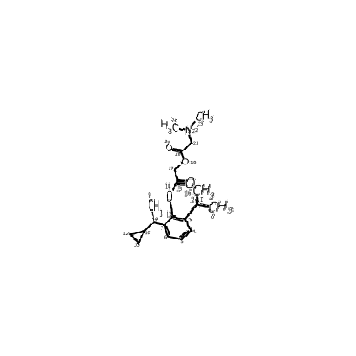 CC(C)c1cccc([C@H](C)C2CC2)c1OC(=O)COC(=O)CN(C)C